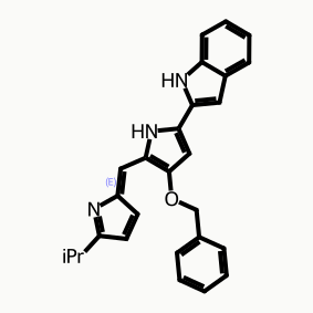 CC(C)C1=N/C(=C/c2[nH]c(-c3cc4ccccc4[nH]3)cc2OCc2ccccc2)C=C1